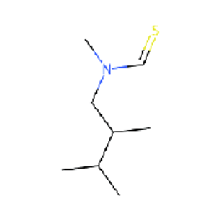 CC(C)C(C)CN(C)C=S